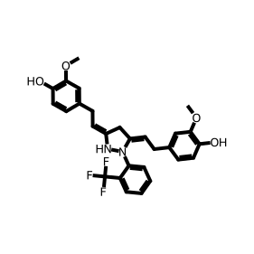 COc1cc(CC=C2CC(=CCc3ccc(O)c(OC)c3)N(c3ccccc3C(F)(F)F)N2)ccc1O